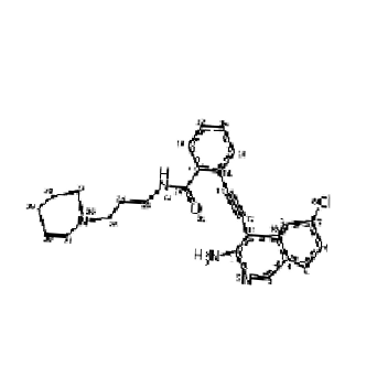 Nc1ncc2ccc(Cl)cc2c1C#Cc1ccccc1C(=O)NCCCN1CCCCC1